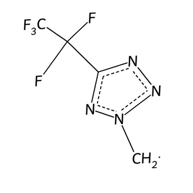 [CH2]n1nnc(C(F)(F)C(F)(F)F)n1